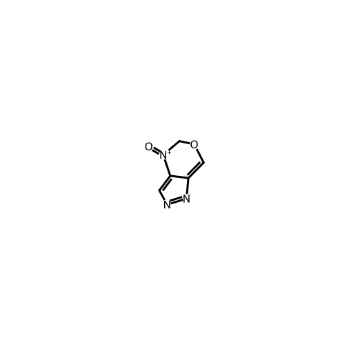 O=[N+]1COC=C2N=NC=C21